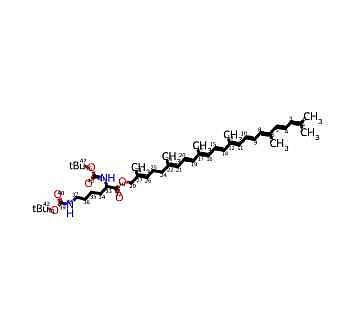 CC(C)=C/C=C/C(C)=C/C=C/C=C(C)/C=C/C=C(C)/C=C/C=C(\C)CC/C=C(\C)COC(=O)C(CCCCNC(=O)OC(C)(C)C)NC(=O)OC(C)(C)C